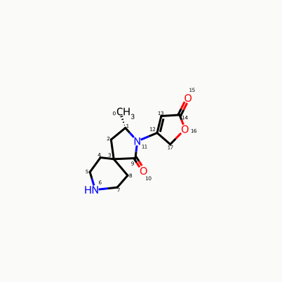 C[C@H]1CC2(CCNCC2)C(=O)N1C1=CC(=O)OC1